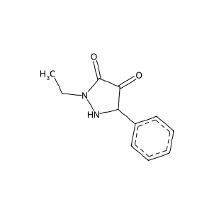 CCN1NC(c2ccccc2)C(=O)C1=O